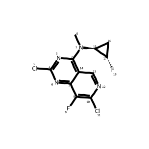 CN(c1nc(Cl)nc2c(F)c(Cl)ncc12)[C@H]1C[C@@H]1F